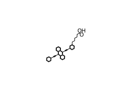 O=C(O)CCCCCc1cccc(C#Cc2c3ccccc3c(C#Cc3ccccc3)c3ccccc23)c1